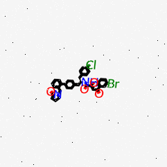 O=C(N[C@@H](C=C1CCC(c2ccccc2CN2CCCC2=O)CC1)Cc1ccc(Cl)cc1)c1cc(=O)c2cc(Br)ccc2o1